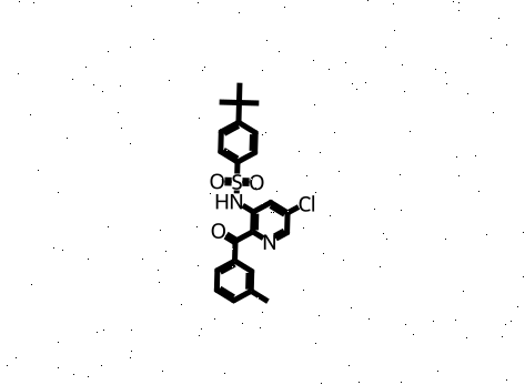 Cc1cccc(C(=O)c2ncc(Cl)cc2NS(=O)(=O)c2ccc(C(C)(C)C)cc2)c1